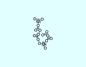 c1ccc(-c2nc(-c3ccccc3)nc(-c3ccc(-n4c5ccccc5c5c(-c6ccc7c(c6)c6ccccc6n7-c6ccc(-c7cccc(-c8nc(-c9ccccc9)nc(-c9ccc(-n%10c%11ccccc%11c%11cc%12c%13ccccc%13n(-c%13ccccc%13)c%12cc%11%10)cc9)n8)c7)cc6)cccc54)cc3)n2)cc1